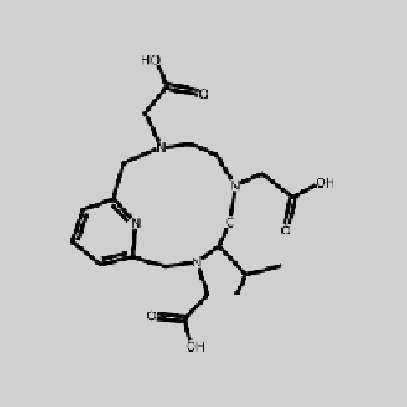 CC(C)C1CN(CC(=O)O)CCN(CC(=O)O)Cc2cccc(n2)CN1CC(=O)O